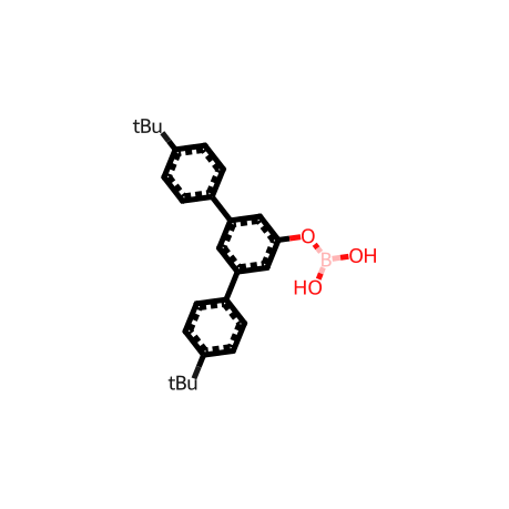 CC(C)(C)c1ccc(-c2cc(OB(O)O)cc(-c3ccc(C(C)(C)C)cc3)c2)cc1